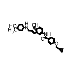 Cn1c(CN[C@H]2CC[C@](C)(O)CC2)cc2cc(NC(=O)c3ccc(OCC4CC4)cc3)ccc21